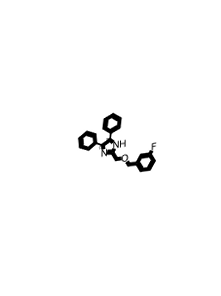 Fc1cccc(COCC2=N[C@@H](C3C=CC=CC3)[C@@H](c3ccccc3)N2)c1